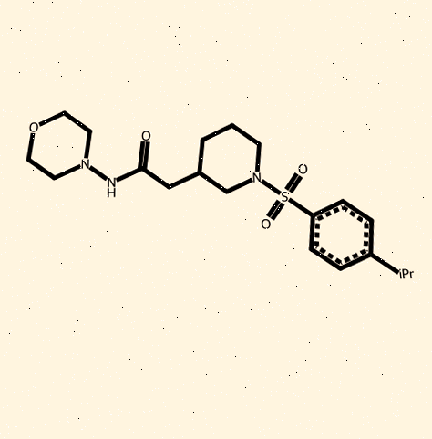 CC(C)c1ccc(S(=O)(=O)N2CCCC(CC(=O)NN3CCOCC3)C2)cc1